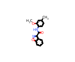 COc1cc(C)ccc1NC(=O)c1noc2ccccc12